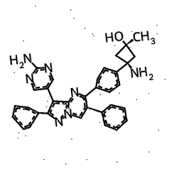 C[C@]1(O)C[C@@](N)(c2ccc(-c3nc4c(-c5cnc(N)nc5)c(-c5ccccc5)nn4cc3-c3ccccc3)cc2)C1